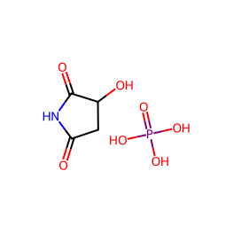 O=C1CC(O)C(=O)N1.O=P(O)(O)O